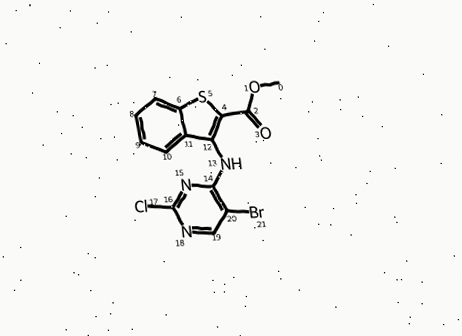 COC(=O)c1sc2ccccc2c1Nc1nc(Cl)ncc1Br